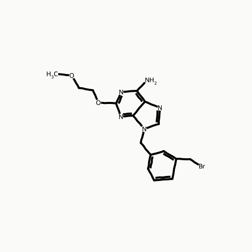 COCCOc1nc(N)c2ncn(Cc3cccc(CBr)c3)c2n1